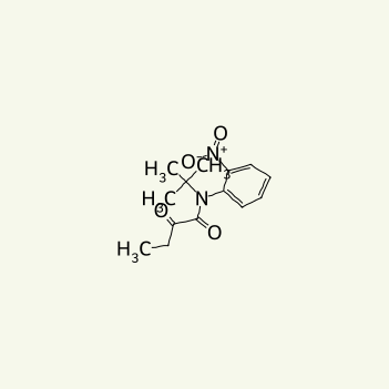 CCC(=O)C(=O)N(c1ccccc1[N+](=O)[O-])C(C)(C)C